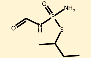 CCC(C)SP(N)(=O)NC=O